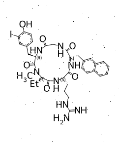 CC[C@@H]1C(=O)N[C@@H](CCCNC(=N)N)C(=O)N[C@@H](Cc2ccc3ccccc3c2)C(=O)NCC(=O)N[C@H](Cc2ccc(O)c(I)c2)C(=O)N1C